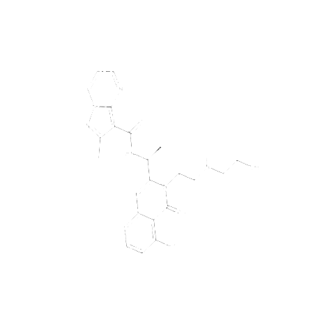 Cc1nn2cccnc2c1C(=O)N[C@@H](C)c1cc2cccc(Cl)c2c(=O)n1CCNCCO